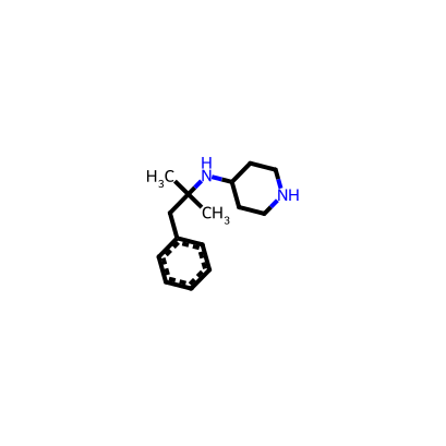 CC(C)(Cc1ccccc1)NC1CCNCC1